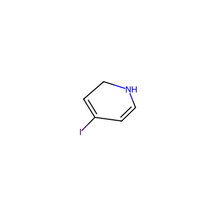 IC1=CCNC=C1